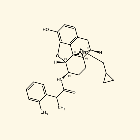 Cc1ccccc1C(C)C(=O)N[C@@H]1CC[C@@]2(O)[C@H]3Cc4ccc(O)c5c4[C@@]2(CCN3CC2CC2)[C@H]1O5